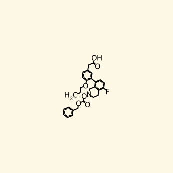 CCCOc1ccc(CC(=O)O)cc1-c1ccc(F)c2c1CN(OC(=O)OCc1ccccc1)CC2